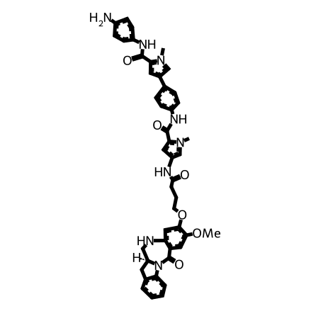 COc1cc2c(cc1OCCCC(=O)Nc1cc(C(=O)Nc3ccc(-c4cc(C(=O)Nc5ccc(N)cc5)n(C)c4)cc3)n(C)c1)NC[C@@H]1Cc3ccccc3N1C2=O